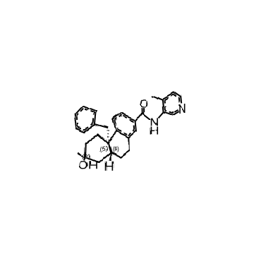 Cc1ccncc1NC(=O)c1ccc2c(c1)CC[C@@H]1C[C@](C)(O)CC[C@@]21Cc1ccccc1